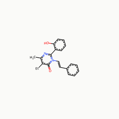 CCc1c(C)nc(-c2ccccc2O)n(/C=C/c2ccccc2)c1=O